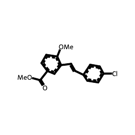 COC(=O)c1ccc(OC)c(C=Cc2ccc(Cl)cc2)c1